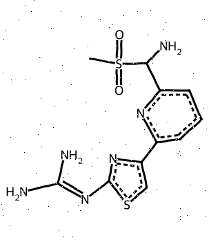 CS(=O)(=O)C(N)c1cccc(-c2csc(N=C(N)N)n2)n1